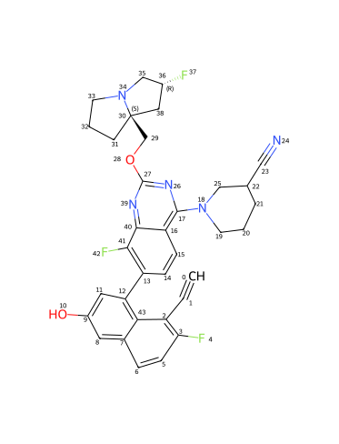 C#Cc1c(F)ccc2cc(O)cc(-c3ccc4c(N5CCCC(C#N)C5)nc(OC[C@@]56CCCN5C[C@H](F)C6)nc4c3F)c12